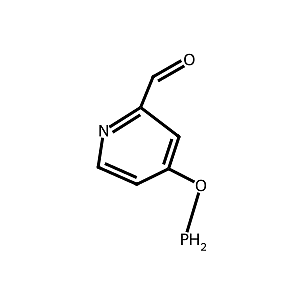 O=Cc1cc(OP)ccn1